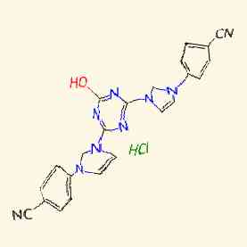 Cl.N#Cc1ccc(N2C=CN(c3nc(O)nc(N4C=CN(c5ccc(C#N)cc5)C4)n3)C2)cc1